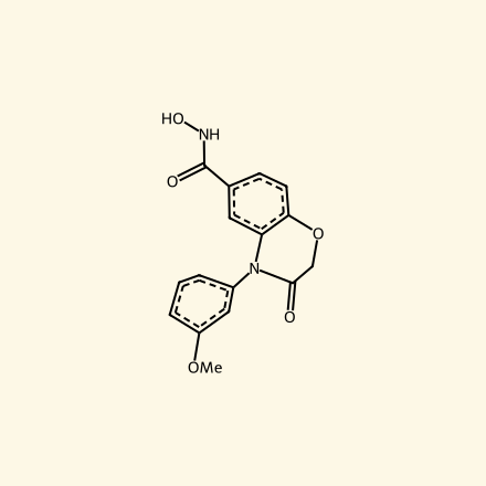 COc1cccc(N2C(=O)COc3ccc(C(=O)NO)cc32)c1